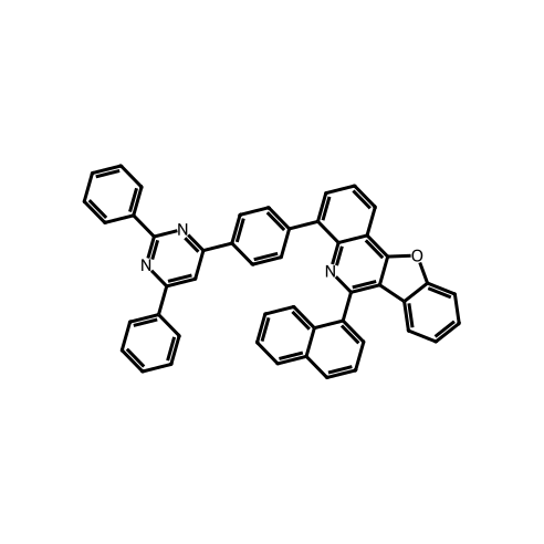 c1ccc(-c2cc(-c3ccc(-c4cccc5c4nc(-c4cccc6ccccc46)c4c6ccccc6oc54)cc3)nc(-c3ccccc3)n2)cc1